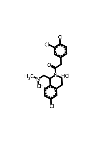 CN(C)CC1c2ccc(Cl)cc2CCN1C(=O)Cc1ccc(Cl)c(Cl)c1.Cl